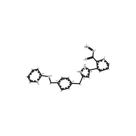 N=NC(=O)c1ncccc1-c1cc(Cc2ccc(COc3ccccn3)cc2)no1